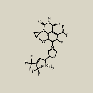 COC1=c2c(c(=O)[nH]c(=O)n2C2CC2)=C(C(F)F)C(F)C1N1CCC(C(N)C=C(C(F)(F)F)C(F)(F)F)C1